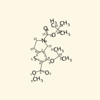 COC(=O)c1sc2c(c1OC(C)C)CN(C(=O)OC(C)(C)C)CC2